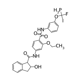 CCOc1cc(NC(=O)C2c3ccccc3CC2O)ccc1S(=O)(=O)Nc1cccc(OC(F)(P)I)c1